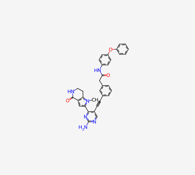 Cn1c(-c2nc(N)ncc2C#Cc2cccc(CC(=O)Nc3ccc(Oc4ccccc4)cc3)c2)cc2c1CCNC2=O